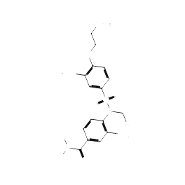 COCCOc1ccc(S(=O)(=O)N(CC(C)C)c2ccc(C(=O)N(C)C)cc2C)cc1C(=O)O